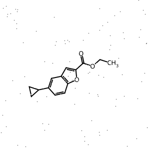 CCOC(=O)c1cc2cc(C3CC3)ccc2o1